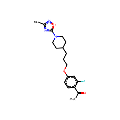 COC(=O)c1ccc(OCCCC2CCN(c3nc(C(C)(C)C)no3)CC2)cc1F